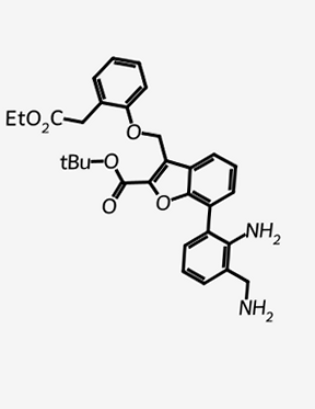 CCOC(=O)Cc1ccccc1OCc1c(C(=O)OC(C)(C)C)oc2c(-c3cccc(CN)c3N)cccc12